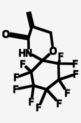 C=C1COC2(NC1=O)C(F)(F)C(F)(F)C(F)(F)C(F)(F)C2(F)F